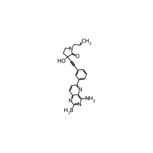 Bc1nc(N)c2nc(-c3cccc(C#CC4(O)CCN(CC=C)C4=O)c3)ccc2n1